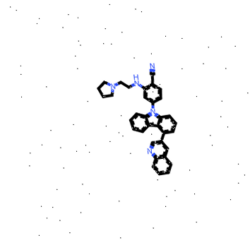 N#Cc1ccc(-n2c3ccccc3c3c(-c4cnc5ccccc5c4)cccc32)cc1NCCN1CCCC1